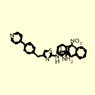 NC1(C(=O)Nc2nc(Cc3ccc(-c4ccncc4)cc3)cs2)CC2([N+](=O)[O-])c3ccccc3C1c1ccccc12